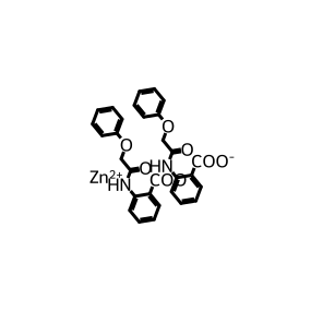 O=C(COc1ccccc1)Nc1ccccc1C(=O)[O-].O=C(COc1ccccc1)Nc1ccccc1C(=O)[O-].[Zn+2]